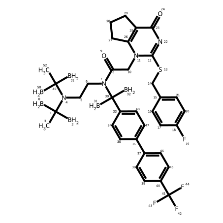 BC(B)(C)N(CCN(C(=O)Cn1c(SCc2ccc(F)cc2)nc(=O)c2c1CCC2)C(B)(B)c1ccc(-c2ccc(C(F)(F)F)cc2)cc1)C(B)(B)C